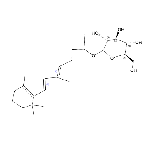 CC1=C(/C=C/C(C)=C/CCC(C)OC2O[C@H](CO)[C@@H](O)[C@H](O)[C@H]2O)C(C)(C)CCC1